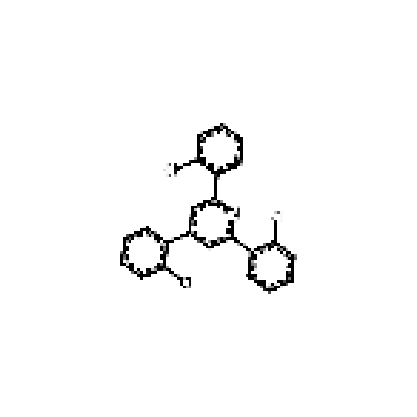 Clc1ccccc1-c1cc(-c2ccccc2Cl)nc(-c2ccccc2Cl)c1